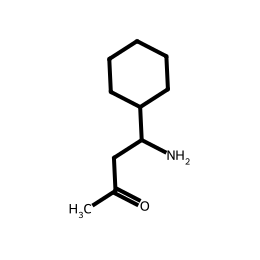 CC(=O)CC(N)C1CCCCC1